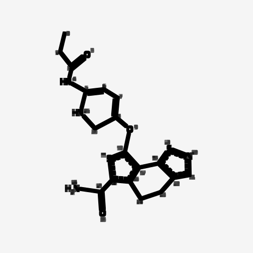 CCC(=O)NC1=CC=C(Oc2sc(C(N)=O)c3c2-c2sncc2CC3)CN1